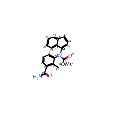 COC(=O)N(c1cccc(C(N)=O)c1C)c1cccc2ccccc12